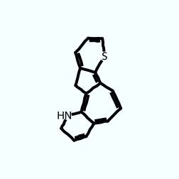 C1=CSC2=C3C=CC=C4C=CCNC4=C3CC2=C1